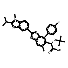 Cc1cc2nc(-c3ccc4c(c3)nc(C(C)C)n4C)sc2c(-c2ccc(Cl)cc2)c1[C@H](OC(C)(C)C)C(=O)O